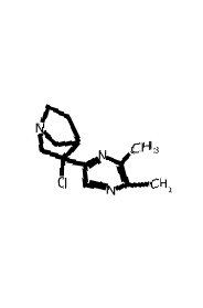 Cc1ncc(C2(Cl)CN3CCC2C3)nc1C